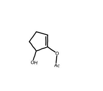 CC(=O)OC1=CCCC1O